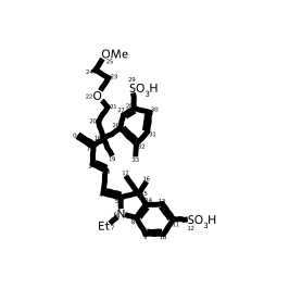 C=C(/C=C/C=C1/N(CC)c2ccc(S(=O)(=O)O)cc2C1(C)C)C(C)(CCOCCOC)c1cc(S(=O)(=O)O)ccc1C